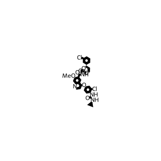 COc1cc2nccc(Oc3ccc(NC(=O)NC4CC4)c(Cl)c3)c2cc1C(=O)NP1(=O)OC=C[C@@H](c2cccc(Cl)c2)O1